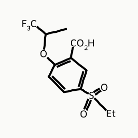 CCS(=O)(=O)c1ccc(OC(C)C(F)(F)F)c(C(=O)O)c1